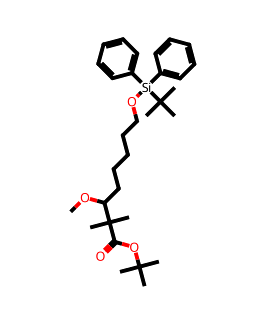 COC(CCCCCO[Si](c1ccccc1)(c1ccccc1)C(C)(C)C)C(C)(C)C(=O)OC(C)(C)C